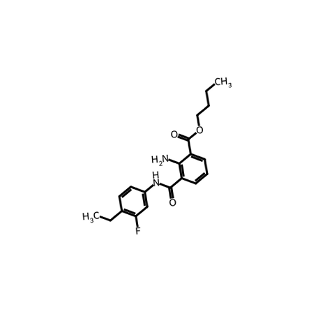 CCCCOC(=O)c1cccc(C(=O)Nc2ccc(CC)c(F)c2)c1N